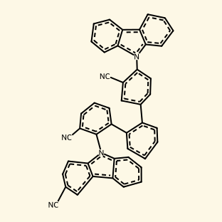 N#Cc1ccc2c(c1)c1ccccc1n2-c1c(C#N)cccc1-c1ccccc1-c1ccc(-n2c3ccccc3c3ccccc32)c(C#N)c1